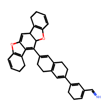 N=CC1=CCCC(C2=CC3=C(C=C(C4=c5c6c(oc5=CC5C7=C(C=CCC7)OC45)C=CCC6)CC3)CC2)=C1